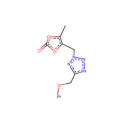 Cc1oc(=O)oc1Cn1nnc(COC(C)C)n1